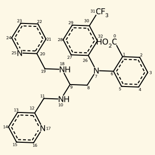 O=C(O)c1ccccc1N(CC(NCc1ccccn1)NCc1ccccn1)c1cccc(C(F)(F)F)c1